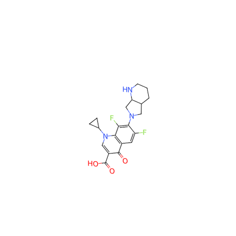 O=C(O)c1cn(C2CC2)c2c(F)c(N3CC4CCCNC4C3)c(F)cc2c1=O